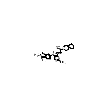 Cc1ncc(Nc2ccc3c(C)n(C)nc3c2)c(NC(=O)C(C#N)N2CCC3(CCCCC3)CC2)n1